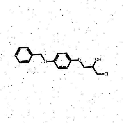 OC(CCl)COc1ccc(OCc2ccccc2)cc1